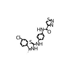 C[C@@H](NC(=S)Nc1ccc(NC(=O)c2csnn2)cc1)c1ccc(Cl)cc1